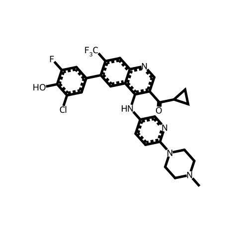 CN1CCN(c2ccc(Nc3c(C(=O)C4CC4)cnc4cc(C(F)(F)F)c(-c5cc(F)c(O)c(Cl)c5)cc34)cn2)CC1